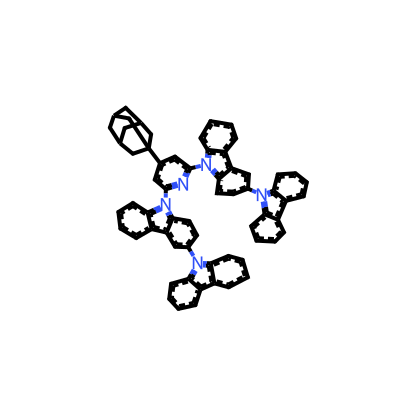 c1ccc2c(c1)c1ccccc1n2-c1ccc2c(c1)c1ccccc1n2-c1cc(C23CC4CC(CC(C4)C2)C3)cc(-n2c3ccccc3c3cc(-n4c5ccccc5c5ccccc54)ccc32)n1